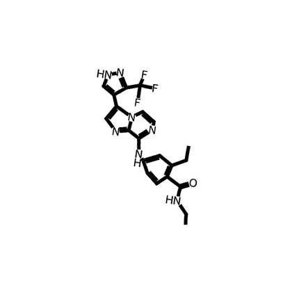 CCNC(=O)c1ccc(Nc2nccn3c(-c4c[nH]nc4C(F)(F)F)cnc23)cc1CC